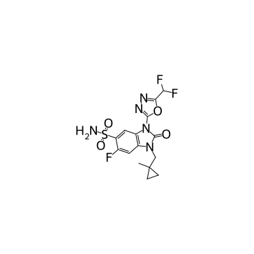 CC1(Cn2c(=O)n(-c3nnc(C(F)F)o3)c3cc(S(N)(=O)=O)c(F)cc32)CC1